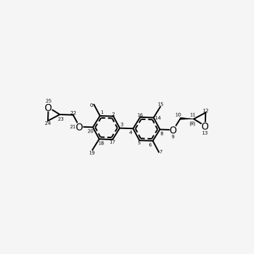 Cc1cc(-c2cc(C)c(OC[C@H]3CO3)c(C)c2)cc(C)c1OCC1CO1